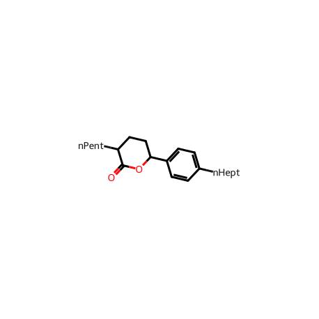 CCCCCCCc1ccc(C2CCC(CCCCC)C(=O)O2)cc1